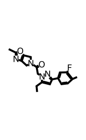 CCc1cc(-c2ccc(C)c(F)c2)nn1CC(=O)N1Cc2nc(C)oc2C1